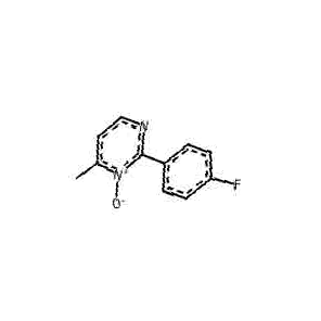 Cc1ccnc(-c2ccc(F)cc2)[n+]1[O-]